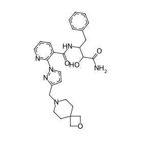 NC(=O)C(O)C(Cc1ccccc1)NC(=O)c1cccnc1-n1ccc(CN2CCC3(CC2)COC3)n1